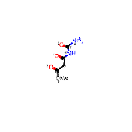 COC(=O)CC(=O)NC(N)=O